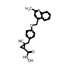 Cc1cc(COc2ccc(CC3(C#N)CC3C(=O)NO)cc2)c2ccccc2n1